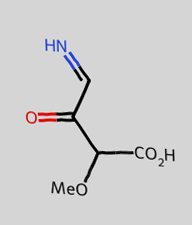 COC(C(=O)O)C(=O)C=N